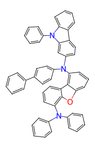 c1ccc(-c2ccc(N(c3ccc4c5ccccc5n(-c5ccccc5)c4c3)c3cccc4oc5c(N(c6ccccc6)c6ccccc6)cccc5c34)cc2)cc1